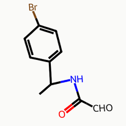 CC(NC(=O)C=O)c1ccc(Br)cc1